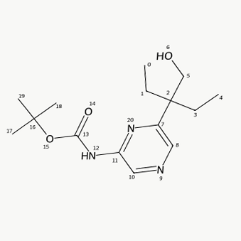 CCC(CC)(CO)c1cncc(NC(=O)OC(C)(C)C)n1